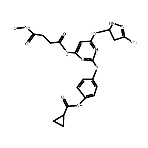 CC1=NNC(Nc2cc(NC(=O)CCC(=O)NO)nc(Sc3ccc(NC(=O)C4CC4)cc3)n2)C1